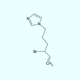 C=CC(Br)CCCn1ccnc1